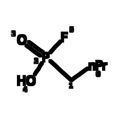 CCCCP(=O)(O)F